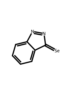 [Se]=C1N=Nc2ccccc21